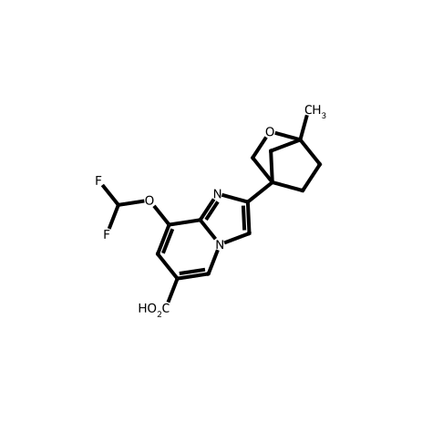 CC12CCC(c3cn4cc(C(=O)O)cc(OC(F)F)c4n3)(CO1)C2